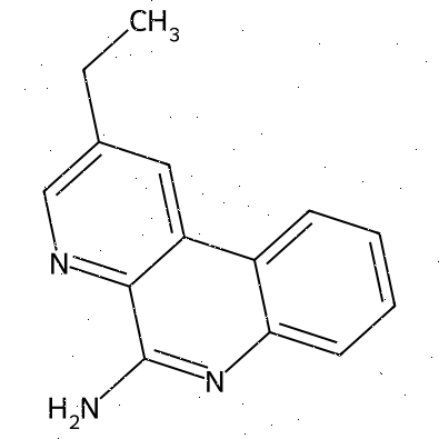 CCc1cnc2c(N)nc3ccccc3c2c1